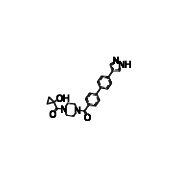 O=C(c1ccc(-c2ccc(-c3cn[nH]c3)cc2)cc1)N1CCN(C(=O)C2(O)CC2)CC1